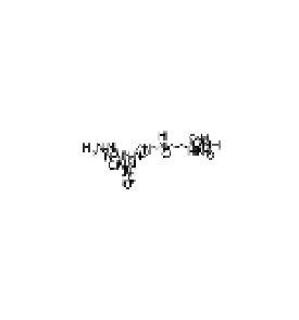 Nc1ncc(-c2nc(N3CCOCC3)nc(N3CCN(CCNC(=O)CCCC[C@@H]4SC[C@@H]5NC(=O)N[C@@H]54)CC3)n2)c(C(F)(F)F)n1